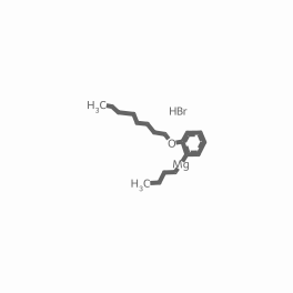 Br.CCCCCCCCOc1cccc[c]1[Mg][CH2]CCC